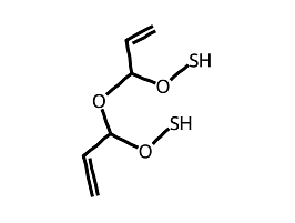 C=CC(OS)OC(C=C)OS